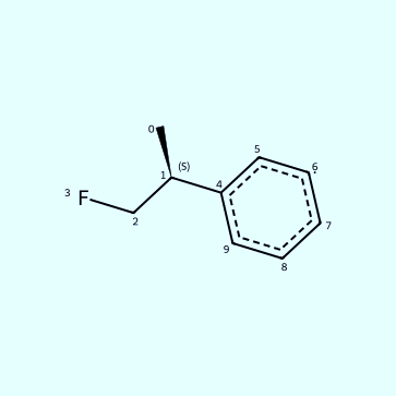 C[C@H](CF)c1c[c]ccc1